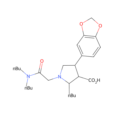 CCCCC1C(C(=O)O)C(c2ccc3c(c2)OCO3)CN1CC(=O)N(CCCC)CCCC